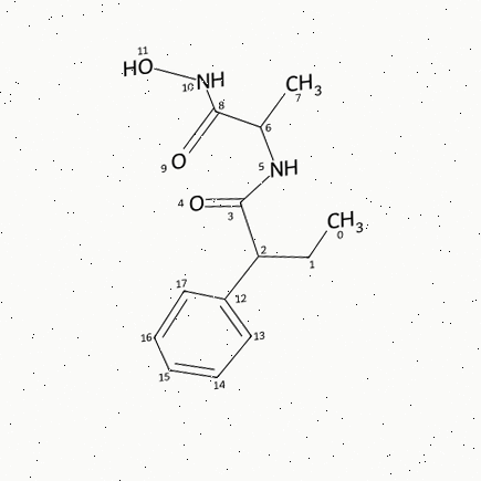 CCC(C(=O)NC(C)C(=O)NO)c1ccccc1